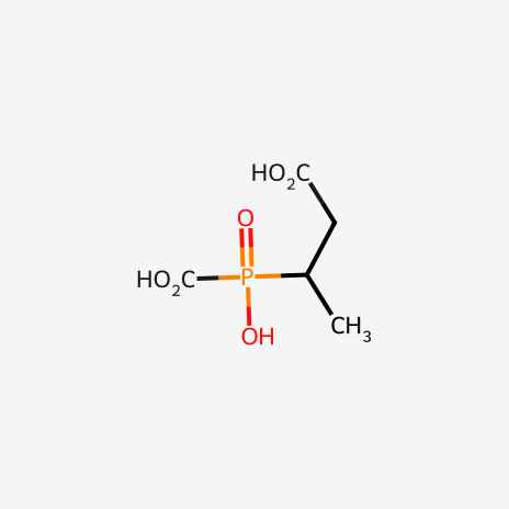 CC(CC(=O)O)P(=O)(O)C(=O)O